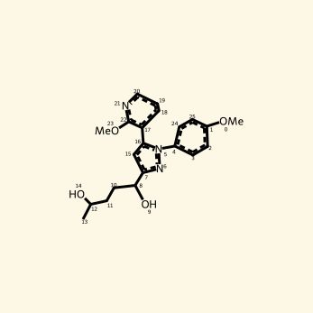 COc1ccc(-n2nc(C(O)CCC(C)O)cc2-c2cccnc2OC)cc1